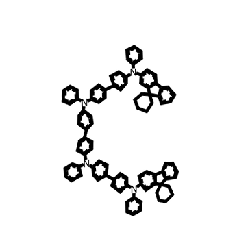 c1ccc(N(c2ccc(-c3ccc(N(c4ccccc4)c4ccc(-c5ccc(N(c6ccccc6)c6ccc7c(c6)C6(CCCCC6)c6ccccc6-7)cc5)cc4)cc3)cc2)c2ccc(-c3ccc(N(c4ccccc4)c4ccc5c(c4)C4(CCCCC4)c4ccccc4-5)cc3)cc2)cc1